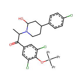 CC(C(=O)c1cc(Cl)c(O[Si](C(C)C)(C(C)C)C(C)C)c(Cl)c1)N1CCC(c2ccc(Cl)cc2)CC1O